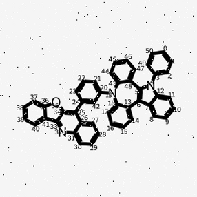 c1ccc(-n2c3c(c4ccccc42)-c2ccccc2N(c2cccc(-c4c5ccccc5nc5c4oc4ccccc45)c2)c2ccccc2-3)cc1